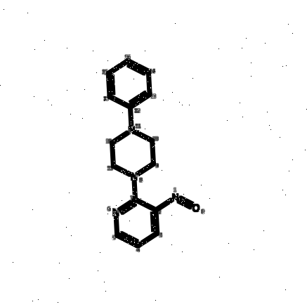 O=Nc1cccnc1N1CCN(c2ccccc2)CC1